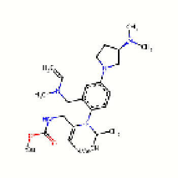 C=CN(C)Cc1cc(N2CC[C@@H](N(C)C)C2)ccc1N(/C(=C\NC)CNC(=O)OC(C)(C)C)C(C)C#N